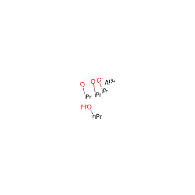 CC(C)[O-].CC(C)[O-].CC(C)[O-].CCCO.[Al+3]